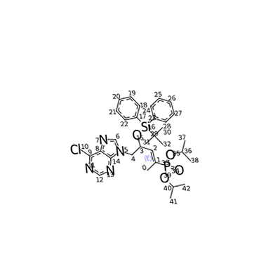 C/C(=C\C(Cn1cnc2c(Cl)ncnc21)O[Si](c1ccccc1)(c1ccccc1)C(C)(C)C)P(=O)(OC(C)C)OC(C)C